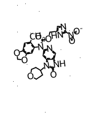 Cc1cc2c(cc1N(C(=O)OCc1cnc([N+](=O)[O-])[nH]1)c1cc3c(cn1)[nH]c(=O)n3C1CCOCC1)OCO2